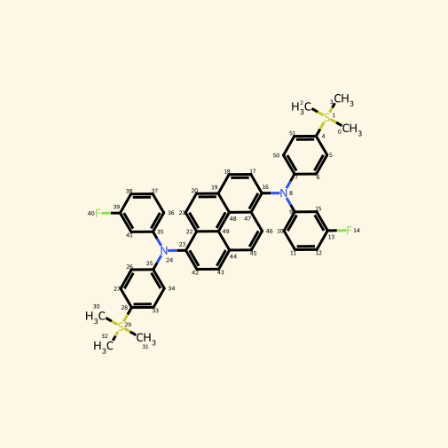 CS(C)(C)c1ccc(N(c2cccc(F)c2)c2ccc3ccc4c(N(c5ccc(S(C)(C)C)cc5)c5cccc(F)c5)ccc5ccc2c3c54)cc1